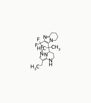 CCc1cnn2c1NCCC2C(C)(C)c1c(C(F)(F)F)nc2n1CCCC2